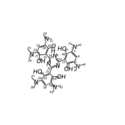 CN(C)c1cc(N(C)C)c(O)c(-c2nc(-c3c(O)c(N(C)C)cc(N(C)C)c3O)nc(-c3c(O)c(N(C)C)cc(N(C)C)c3O)n2)c1O